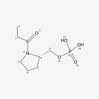 CCC(=O)N1CCC[C@H]1COP(=O)(O)O